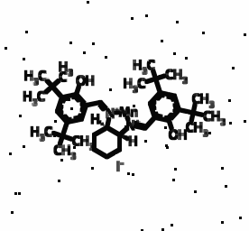 CC(C)(C)c1cc(C=[N+]2[Mn][N+](=Cc3cc(C(C)(C)C)cc(C(C)(C)C)c3O)[C@@H]3CCCC[C@H]32)c(O)c(C(C)(C)C)c1.[I-]